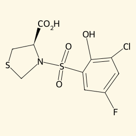 O=C(O)[C@@H]1CSCN1S(=O)(=O)c1cc(F)cc(Cl)c1O